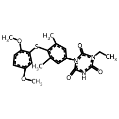 CCn1c(=O)[nH]c(=O)n(-c2cc(C)c(Sc3cc(OC)ccc3OC)c(C)c2)c1=O